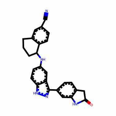 N#Cc1ccc2c(c1)CCCC2Nc1ccc2[nH]nc(-c3ccc4c(c3)NC(=O)C4)c2c1